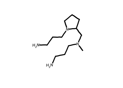 CN(CCCN)CC1CCCN1CCCN